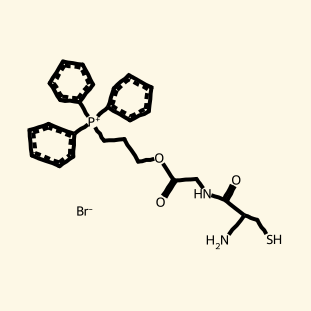 NC(CS)C(=O)NCC(=O)OCCC[P+](c1ccccc1)(c1ccccc1)c1ccccc1.[Br-]